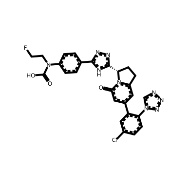 O=C(O)N(CCF)c1ccc(-c2nnc([C@@H]3CCc4cc(-c5cc(Cl)ccc5-n5cnnn5)cc(=O)n43)[nH]2)cc1